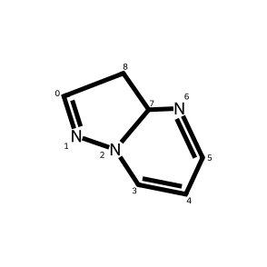 [C]1=NN2C=CC=NC2C1